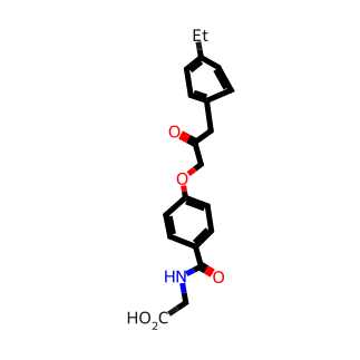 CCc1ccc(CC(=O)COc2ccc(C(=O)NCC(=O)O)cc2)cc1